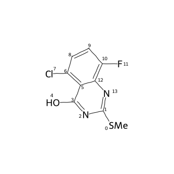 CSc1nc(O)c2c(Cl)ccc(F)c2n1